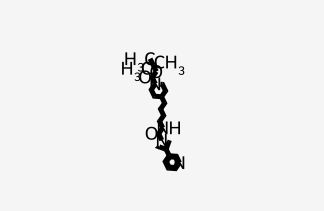 CC(C)(C)OC(=O)N1CCC(CCCCNC(=O)N2CC(c3cccnc3)C2)CC1